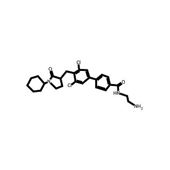 NCCNC(=O)c1ccc(-c2cc(Cl)c(CC3CCN(C4CCCCC4)C3=O)c(Cl)c2)cc1